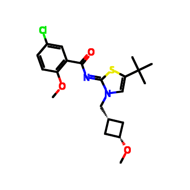 COc1ccc(Cl)cc1C(=O)N=c1sc(C(C)(C)C)cn1C[C@H]1C[C@@H](OC)C1